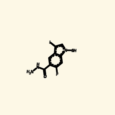 NNC(=O)c1cc2c(I)cn(S)c2cc1F